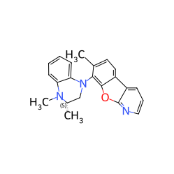 Cc1ccc2c(oc3ncccc32)c1N1C[C@H](C)N(C)c2ccccc21